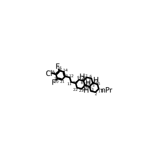 CCC[C@@H]1CC[C@H]2[C@H](CC[C@H]3CC(CCc4cc(F)c(Cl)c(F)c4)CC[C@@H]32)C1